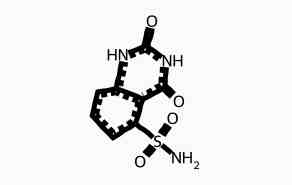 NS(=O)(=O)c1cccc2[nH]c(=O)[nH]c(=O)c12